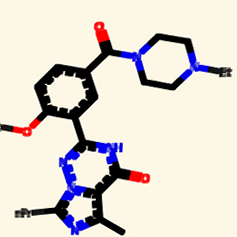 CCCc1nc(C)c2c(=O)[nH]c(-c3cc(C(=O)N4CCN(CC)CC4)ccc3OCC)nn12